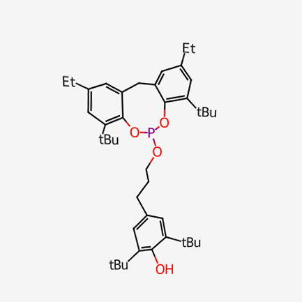 CCc1cc2c(c(C(C)(C)C)c1)OP(OCCCc1cc(C(C)(C)C)c(O)c(C(C)(C)C)c1)Oc1c(cc(CC)cc1C(C)(C)C)C2